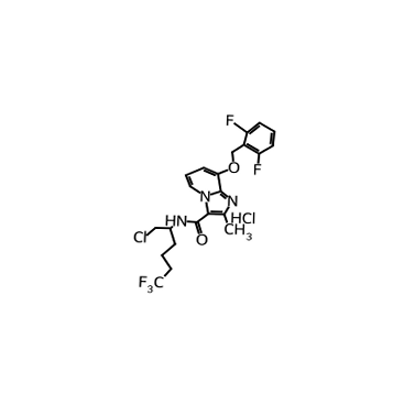 Cc1nc2c(OCc3c(F)cccc3F)cccn2c1C(=O)NC(CCl)CCCC(F)(F)F.Cl